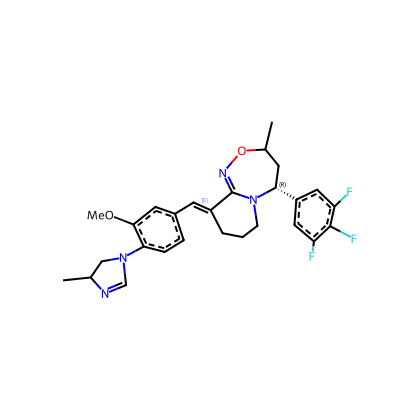 COc1cc(/C=C2\CCCN3C2=NOC(C)C[C@@H]3c2cc(F)c(F)c(F)c2)ccc1N1C=NC(C)C1